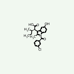 CCC(C)[C@@H](C(=O)O)c1c(C)n(C(=O)c2cccc(Cl)c2)c2ccc(O)cc12